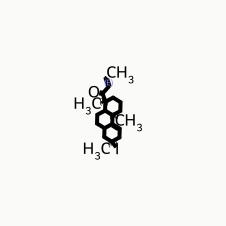 C/C=C/C(=O)[C@]1(C)CCC[C@@]2(C)C3=CC[C@](C)(I)CC3CCC12